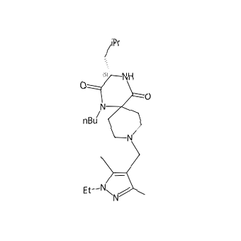 CCCCN1C(=O)[C@H](CC(C)C)NC(=O)C12CCN(Cc1c(C)nn(CC)c1C)CC2